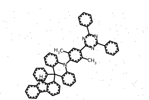 Cc1cc(N2c3ccccc3C(c3ccccc3)(c3cccc4c3[nH]c3ccccc34)c3ccccc32)c(C)cc1-c1nc(-c2ccccc2)nc(-c2ccccc2)n1